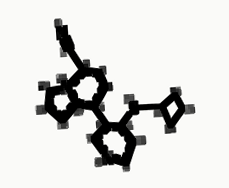 N#Cc1ccc(-c2cnccc2SC2CCC2)c2cccn12